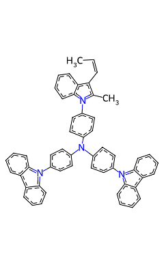 C/C=C\c1c(C)n(-c2ccc(N(c3ccc(-n4c5ccccc5c5ccccc54)cc3)c3ccc(-n4c5ccccc5c5ccccc54)cc3)cc2)c2ccccc12